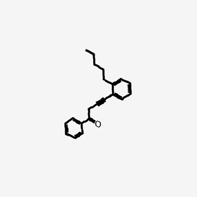 CCCCCc1ccccc1C#CCC(=O)c1ccccc1